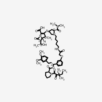 CCC(C)(C)C(=O)C(=O)N1CCCCC1C(=O)O[C@H](CCc1ccc(OC)c(OC)c1)c1cccc(OCC(=O)NCCCCCN2C[C@@H](SC3=C(C(=O)O)N4C(=O)[C@H]([C@@H](C)O)[C@H]4[C@H]3C)C[C@H]2C(=O)N(C)C)c1